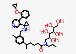 CCCN(C[C@H](O)[C@@H](O)[C@H](O)[C@H](O)CO)C(=O)CCCC(C)c1ccc(C)c(CNC2(c3cnccc3-c3ccccc3OC3CC3)CC2)c1